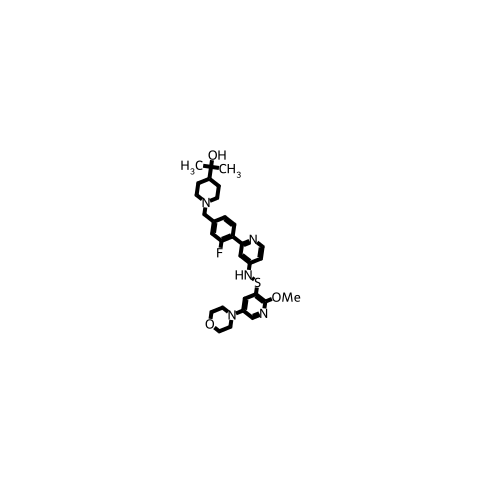 COc1ncc(N2CCOCC2)cc1SNc1ccnc(-c2ccc(CN3CCC(C(C)(C)O)CC3)cc2F)c1